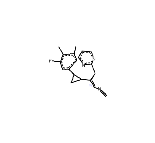 C=N/C=C(\Cc1ncccn1)C1CC1c1cc(C)c(C)c(F)c1